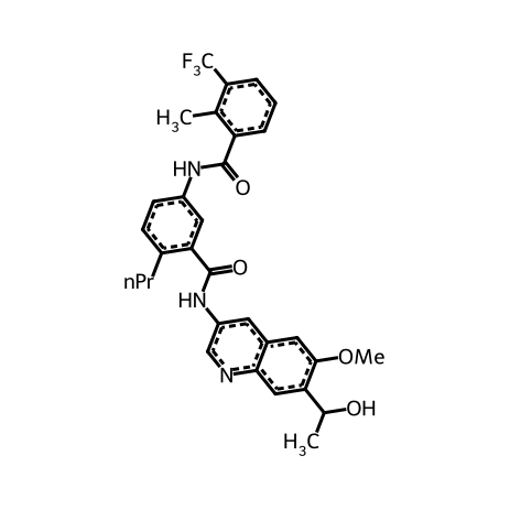 CCCc1ccc(NC(=O)c2cccc(C(F)(F)F)c2C)cc1C(=O)Nc1cnc2cc(C(C)O)c(OC)cc2c1